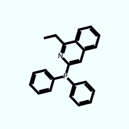 CCc1nc(P(c2ccccc2)c2ccccc2)cc2ccccc12